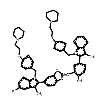 COc1cc(-c2c(C)c3ccccc3n2Cc2ccc(OCCN3CCCCC3)cc2)ccc1O.Cc1c(-c2ccc3c(c2)OCO3)n(Cc2ccc(OCCN3CCCCC3)cc2)c2ccc(O)cc12